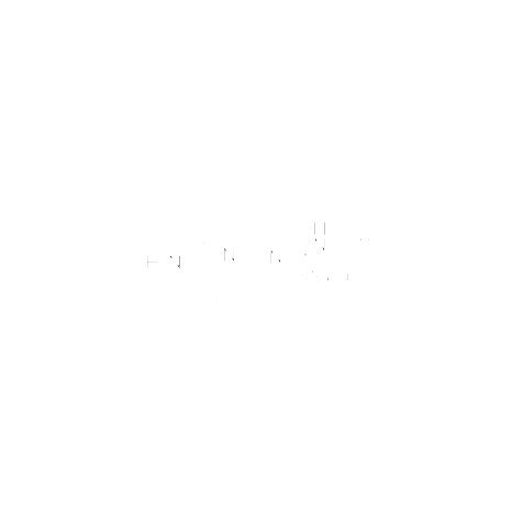 CC(C)C(NC(=O)Cn1ccc2c3cccc(C(N)=O)c3nc-2c1)C(=O)C(F)(F)F